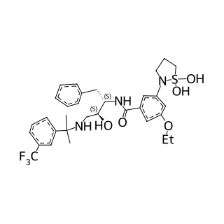 CCOc1cc(C(=O)N[C@@H](Cc2ccccc2)[C@@H](O)CNC(C)(C)c2cccc(C(F)(F)F)c2)cc(N2CCCS2(O)O)c1